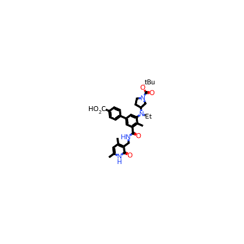 CCN(c1cc(-c2ccc(C(=O)O)cc2)cc(C(=O)NCc2c(C)cc(C)[nH]c2=O)c1C)C1CCN(C(=O)OC(C)(C)C)C1